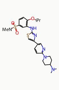 CNS(=O)(=O)c1ccc(OC(C)C)c(Nc2nc(-c3ccc(N4CCC(N(C)C)CC4)nc3)cs2)c1